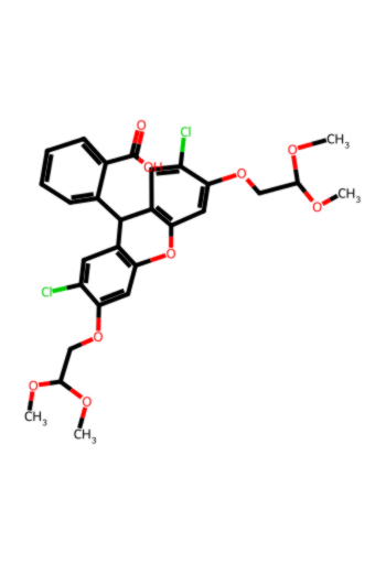 COC(COc1cc2c(cc1Cl)C(c1ccccc1C(=O)O)c1cc(Cl)c(OCC(OC)OC)cc1O2)OC